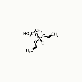 C=COS(=O)(=O)OC=C.CC(=O)O